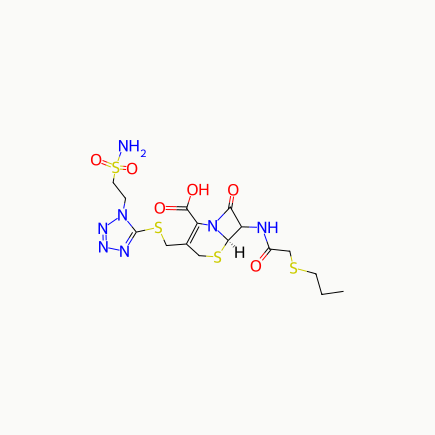 CCCSCC(=O)NC1C(=O)N2C(C(=O)O)=C(CSc3nnnn3CCS(N)(=O)=O)CS[C@H]12